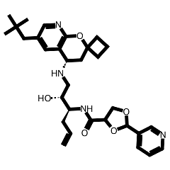 C=CC[C@H](NC(=O)C1COC(c2cccnc2)O1)[C@H](O)CN[C@H]1CC2(CCC2)Oc2ncc(CC(C)(C)C)cc21